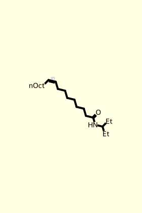 CCCCCCCC/C=C\CCCCCCCC(=O)NC(CC)CC